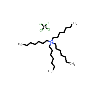 CCCCCCC[N+](CCCCCCC)(CCCCCCC)CCCCCCC.[Cl][Fe-]([Cl])([Cl])[Cl]